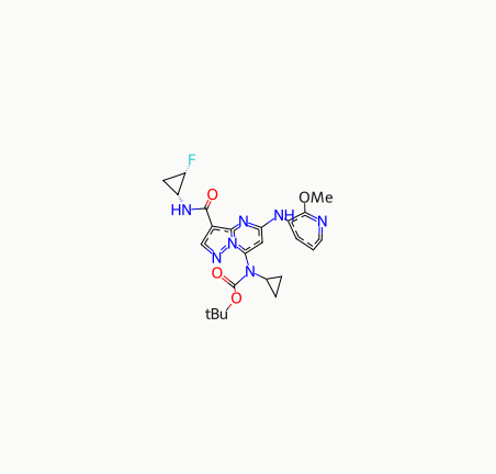 COc1ncccc1Nc1cc(N(C(=O)OC(C)(C)C)C2CC2)n2ncc(C(=O)N[C@@H]3C[C@@H]3F)c2n1